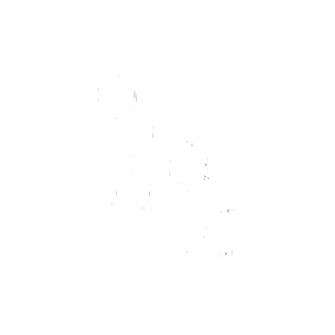 O=C(O)/C(O)=C/c1cc(C(Cc2ccccc2)Cc2ccccc2)ncn1